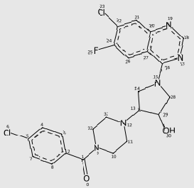 O=C(c1ccc(Cl)cc1)N1CCN(C2CN(c3ncnc4cc(Cl)c(F)cc34)CC2O)CC1